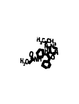 C=CC(=O)Nc1cccc(-c2c(-c3ccccc3)oc3ncnc(NC(C)C)c23)c1